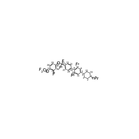 CCCC1CCC(c2cc(F)c(-c3ccc(C(F)(F)Oc4ccc(OC(F)(F)F)c(F)c4)cc3)c(F)c2)CC1